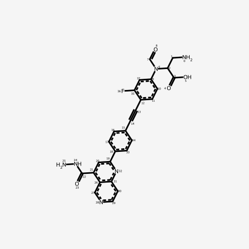 NCC(C(=O)O)N(C=O)c1ccc(C#Cc2ccc(-c3cc(C(=O)NN)c4cnccc4n3)cc2)c(F)c1